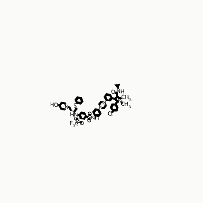 Cc1c(C(=O)NC2CC2)c(-c2cccc(N3CCN(c4ccc(NS(=O)(=O)c5ccc(N[C@H](CCN6CCC(O)CC6)CSc6ccccc6)c(S(=O)(=O)C(F)(F)F)c5)cc4)CC3)c2)c(-c2ccc(Cl)cc2)n1C